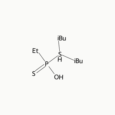 CCC(C)[SH](C(C)CC)P(O)(=S)CC